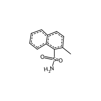 Cc1ccc2ccccc2c1S(N)(=O)=O